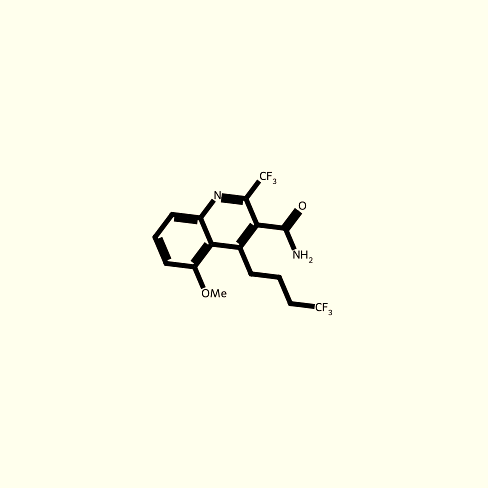 COc1cccc2nc(C(F)(F)F)c(C(N)=O)c(CCCC(F)(F)F)c12